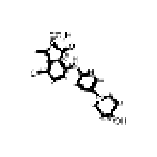 CC1c2c(Cl)ccc(Nc3ccc(N4CCC(O)CC4)cn3)c2C(=O)N1C(=O)O